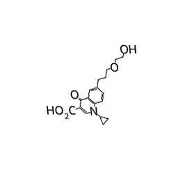 O=C(O)c1cn(C2CC2)c2ccc(CCCOCCO)cc2c1=O